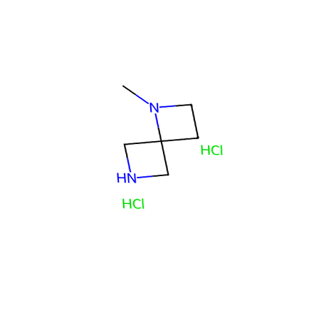 CN1CCC12CNC2.Cl.Cl